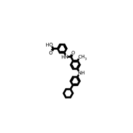 Cc1cc(Nc2ccc(C3CCCCC3)cc2)ccc1C(=O)Nc1cccc(C(=O)O)c1